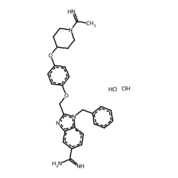 CC(=N)N1CCC(Oc2ccc(OCc3nc4cc(C(=N)N)ccc4n3Cc3ccccc3)cc2)CC1.Cl.Cl